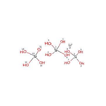 O[Si](O)(O)O.O[Si](O)(O)O.[Li+].[O-][Si](O)(O)O